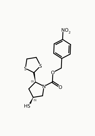 O=C(OCc1ccc([N+](=O)[O-])cc1)N1C[C@@H](S)C[C@H]1C1SCCS1